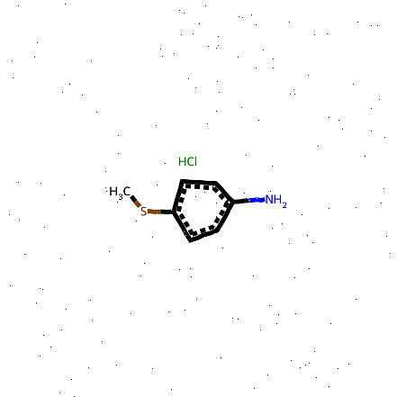 CSc1ccc(N)cc1.Cl